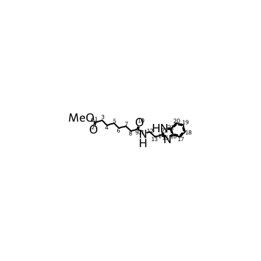 COC(=O)CCCCCCC(=O)NCCc1nc2ccccc2[nH]1